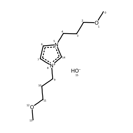 COCCCn1cc[n+](CCCOC)c1.[OH-]